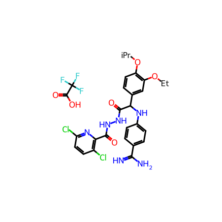 CCOc1cc(C(Nc2ccc(C(=N)N)cc2)C(=O)NNC(=O)c2nc(Cl)ccc2Cl)ccc1OC(C)C.O=C(O)C(F)(F)F